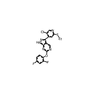 CCSc1cc(-c2n[nH]c3nc(Oc4ccc(F)cc4F)ncc23)c(Cl)cn1